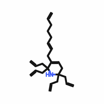 C=CCCCC=CCC1=CCC(CC=C)(CC=C)NC1(CC=C)CC=C